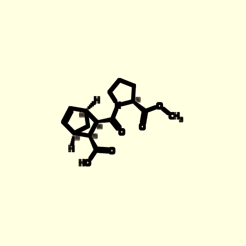 COC(=O)[C@@H]1CCCN1C(=O)[C@H]1[C@@H](C(=O)O)[C@H]2C=C[C@@H]1C2